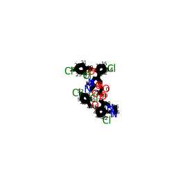 O=C(OC=C(Cn1ccnc1)c1cc(Cl)ccc1OCc1ccc(Cl)cc1Cl)C(=O)OC=C(Cn1ccnc1)c1cc(Cl)ccc1OCc1ccc(Cl)cc1Cl